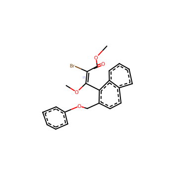 COC(=O)/C(Br)=C(/OC)c1c(COc2ccccc2)ccc2ccccc12